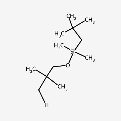 [Li][CH2]C(C)(C)CO[Si](C)(C)CC(C)(C)C